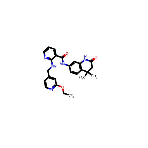 CC1(C)CC(=O)Nc2cc(NC(=O)c3cccnc3NCc3ccnc(OCC(F)(F)F)c3)ccc21